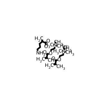 C=C(C)C(=O)OCC[N+](C)(C)C.C=C(C)C(=O)OCC[N+](C)(C)C.C=C(CCCN)C(=O)[O-].[Cl-]